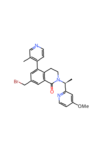 COc1ccnc([C@H](C)N2CCc3c(cc(CBr)cc3-c3ccncc3C)C2=O)c1